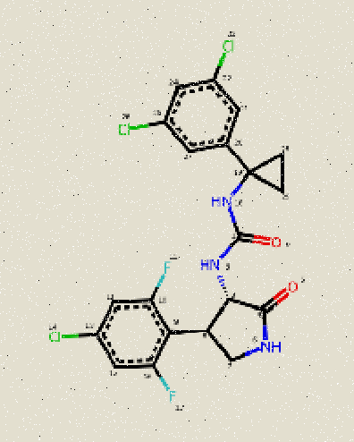 O=C(N[C@@H]1C(=O)NC[C@H]1c1c(F)cc(Cl)cc1F)NC1(c2cc(Cl)cc(Cl)c2)CC1